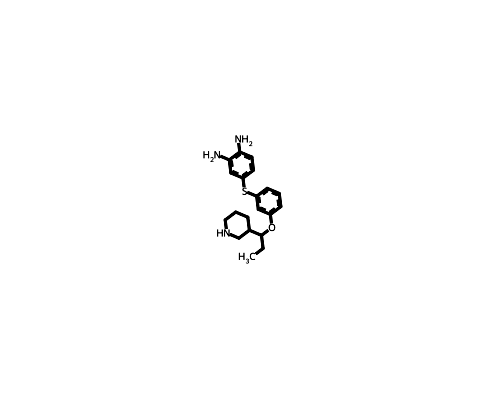 CCC(Oc1cccc(Sc2ccc(N)c(N)c2)c1)C1CCCNC1